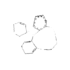 C1=C[C@H](N2C3=CCCC=C3CCCCOc3ccccc32)COC1